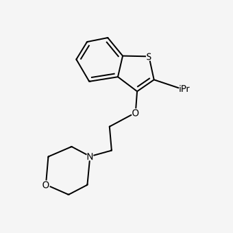 CC(C)c1sc2ccccc2c1OCCN1CCOCC1